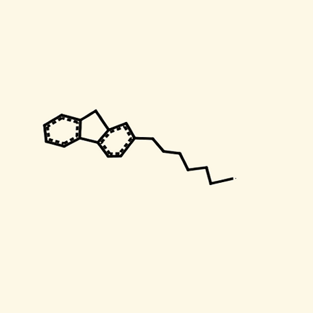 [CH2]CCCCCCc1ccc2c(c1)Cc1ccccc1-2